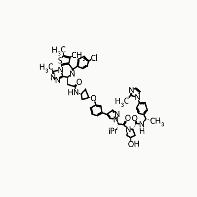 Cc1sc2c(c1C)C(c1ccc(Cl)cc1)=N[C@@H](CC(=O)N[C@H]1C[C@@H](Oc3cccc(-c4cnn([C@H](C(=O)N5C[C@H](O)C[C@H]5C(=O)N[C@@H](C)c5ccc(-n6ccnc6C)cc5)C(C)C)c4)c3)C1)c1nnc(C)n1-2